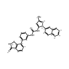 CC(C)(C)c1cc(NC(=O)Nc2cccc(-c3cccc4c3CNC4=O)c2)n(-c2ccc3ncncc3c2)n1